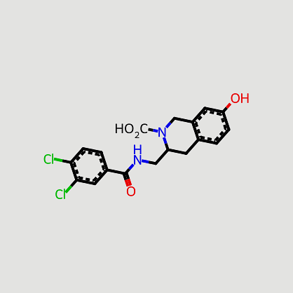 O=C(NCC1Cc2ccc(O)cc2CN1C(=O)O)c1ccc(Cl)c(Cl)c1